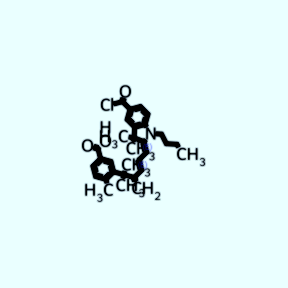 C=C(/C=C/C=C1/N(CCCC)c2ccc(C(=O)Cl)cc2C1(C)C)C(C)(C)c1cc(C(=O)O)ccc1C